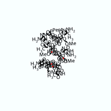 CCCCC[C@H]1O[C@@H](n2cnc3c(N)ncnc32)C[C@H]1OP(=O)(S)OC[C@H]1OC(n2cc(C)c(N)nc2=O)C(OCCOC)[C@H]1OP(=O)(O)OC[C@H]1OC(n2cc(C)c(=O)[nH]c2=O)C(OCCOC)[C@H]1OP(=O)(O)OC[C@H]1OC(n2cnc3c(=O)[nH]c(N)nc32)C(OCCOC)[C@H]1OP(=O)(S)OC[C@H]1O[C@@H](n2cc(C)c(=O)[nH]c2=O)[C@@H](OCCOC)C1OP(=O)(S)OC[C@H]1O[C@@H](n2cc(C)c(N)nc2=O)[C@@H](OCCOC)C1O